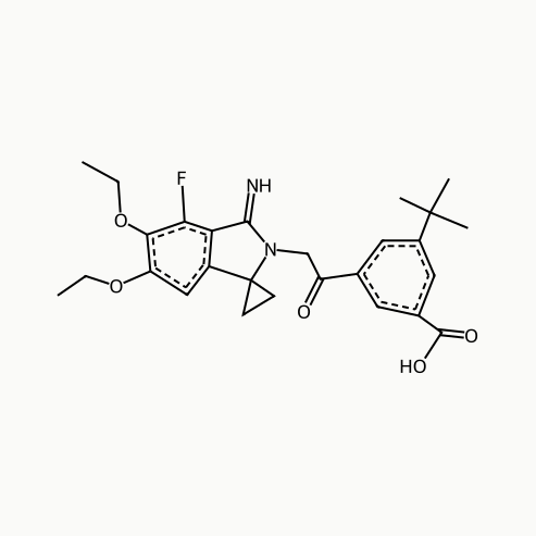 CCOc1cc2c(c(F)c1OCC)C(=N)N(CC(=O)c1cc(C(=O)O)cc(C(C)(C)C)c1)C21CC1